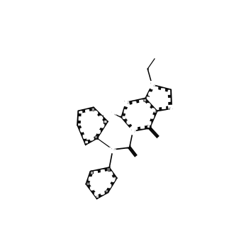 Nc1nc2c(ncn2CC(=O)O)c(=O)n1C(=O)N(c1ccccc1)c1ccccc1